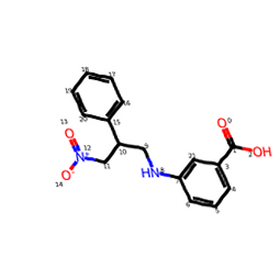 O=C(O)c1cccc(NCC(C[N+](=O)[O-])c2ccccc2)c1